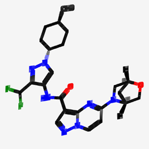 O=C[C@H]1CC[C@H](n2cc(NC(=O)c3cnn4ccc(N5C[C@H]6C[C@@H]5CO6)nc34)c(C(F)F)n2)CC1